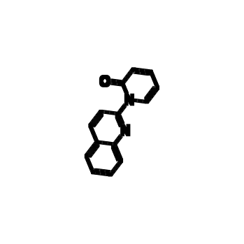 O=c1ccccn1-c1ccc2ccccc2n1